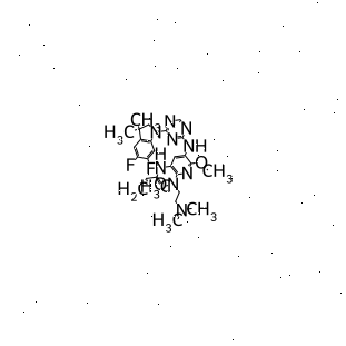 C=CC(=O)Nc1cc(Nc2ncnc(N3CC(C)(C)c4cc(F)c(F)cc43)n2)c(OC)nc1N(C)CCN(C)C